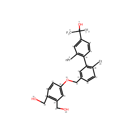 CCCc1cc(C(O)(C(F)(F)F)C(F)(F)F)ccc1-c1cc(COc2ccc(CO)c(CO)c2)ccc1CC